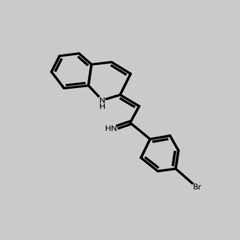 N=C(/C=C1/C=Cc2ccccc2N1)c1ccc(Br)cc1